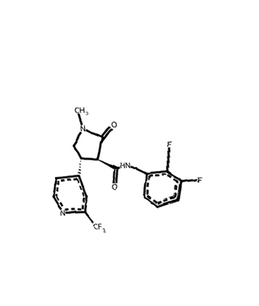 CN1C[C@@H](c2ccnc(C(F)(F)F)c2)[C@H](C(=O)Nc2cccc(F)c2F)C1=O